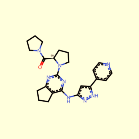 O=C([C@H]1CCCN1c1nc2c(c(Nc3cc(-c4ccncc4)[nH]n3)n1)CCC2)N1CCCC1